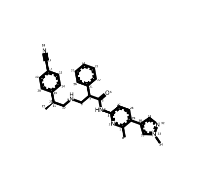 Cc1nc(NC(=O)C(CNC[C@@H](C)c2ccc(C#N)cc2)c2ccccc2)ccc1-c1cnn(C)c1